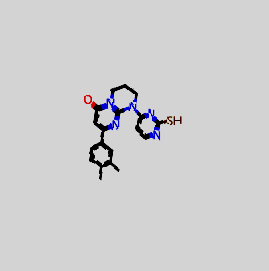 Cc1ccc(-c2cc(=O)n3c(n2)N(c2ccnc(S)n2)CCC3)cc1C